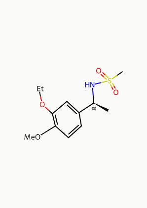 CCOc1cc([C@H](C)NS(C)(=O)=O)ccc1OC